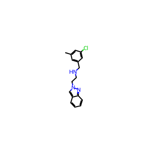 Cc1cc(Cl)cc(CNCCn2cc3ccccc3n2)c1